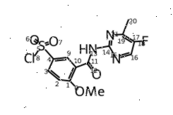 COc1ccc(S(=O)(=O)Cl)cc1C(=O)Nc1ncc(F)c(C)n1